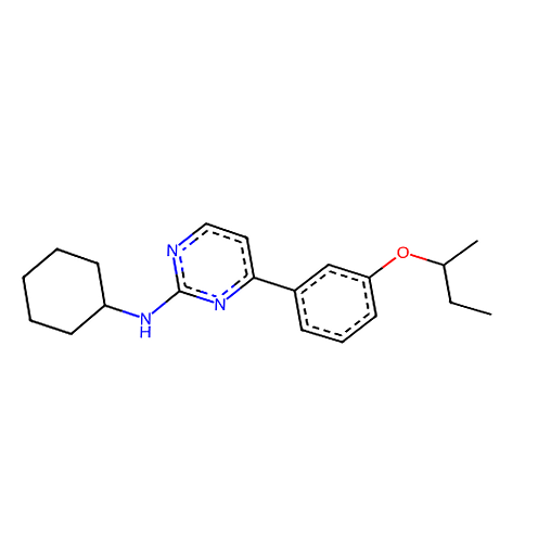 CCC(C)Oc1cccc(-c2ccnc(NC3CCCCC3)n2)c1